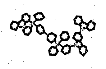 c1ccc([Si](c2ccccc2)(c2ccc(-c3ccc([Si](c4ccccc4)(c4ccccc4)c4cccc5c4sc4ccccc45)cc3)cc2)c2cccc(-n3c4ccccc4c4cc(-n5c6ccccc6c6ccccc65)ccc43)c2)cc1